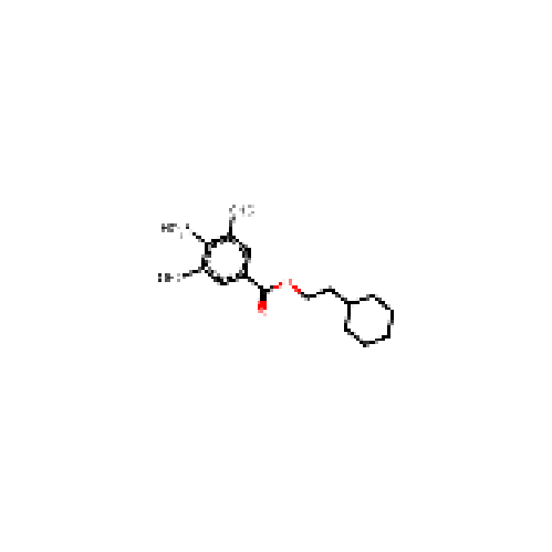 O=Cc1cc(C(=O)OCCC2CCCCC2)cc(C=O)c1S(=O)(=O)O